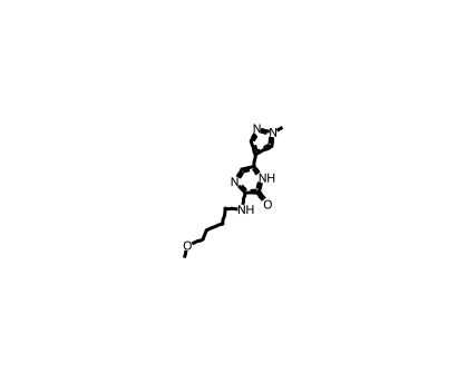 COCCCCNc1ncc(-c2cnn(C)c2)[nH]c1=O